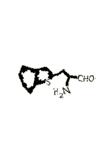 NC([C]=O)Cc1cc2ccccc2s1